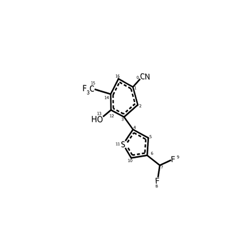 N#Cc1cc(-c2cc(C(F)F)cs2)c(O)c(C(F)(F)F)c1